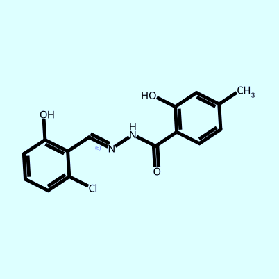 Cc1ccc(C(=O)N/N=C/c2c(O)cccc2Cl)c(O)c1